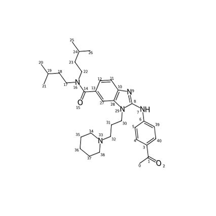 CC(=O)c1ccc(Nc2nc3ccc(C(=O)N(CCC(C)C)CCC(C)C)cc3n2CCCN2CCCCC2)cc1